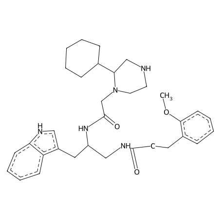 COc1ccccc1CCC(=O)NCC(Cc1c[nH]c2ccccc12)NC(=O)CN1CCNCC1C1CCCCC1